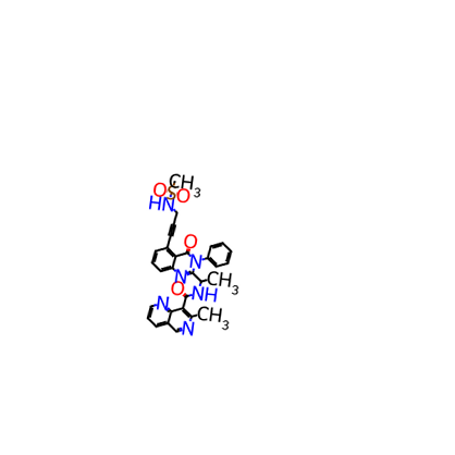 Cc1ncc2cccnc2c1C(=O)NC(C)c1nc2cccc(C#CCNS(C)(=O)=O)c2c(=O)n1-c1ccccc1